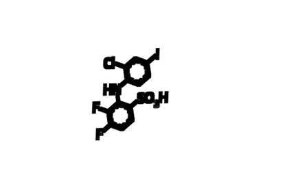 O=S(=O)(O)c1ccc(F)c(F)c1Nc1ccc(I)cc1Cl